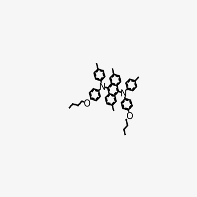 CCCCOc1ccc(N(c2ccc(C)cc2)c2c3ccc(C)cc3c(N(c3ccc(C)cc3)c3ccc(OCCCC)cc3)c3ccc(C)cc23)cc1